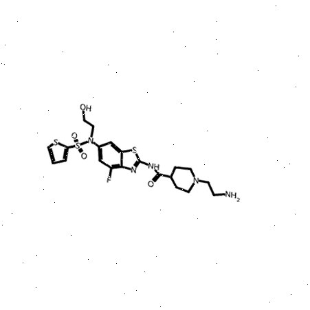 NCCN1CCC(C(=O)Nc2nc3c(F)cc(N(CCO)S(=O)(=O)c4cccs4)cc3s2)CC1